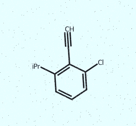 C#Cc1c(Cl)cccc1C(C)C